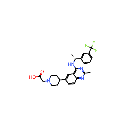 Cc1nc(N[C@H](C)c2cccc(C(F)(F)F)c2)c2cc(C3CCN(CC(=O)O)CC3)ccc2n1